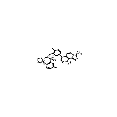 Cc1cnc2c(c1)S(=O)(=O)N(Cc1cc(C(CC(=O)O)c3ccn4c(C(F)(F)F)nnc4c3C)ccc1C)C[C@]1(CCOC1)O2